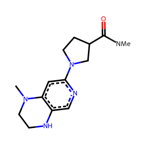 CNC(=O)C1CCN(c2cc3c(cn2)NCCN3C)C1